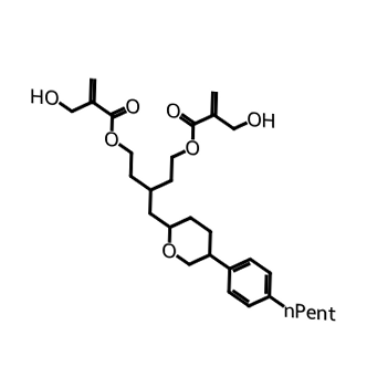 C=C(CO)C(=O)OCCC(CCOC(=O)C(=C)CO)CC1CCC(c2ccc(CCCCC)cc2)CO1